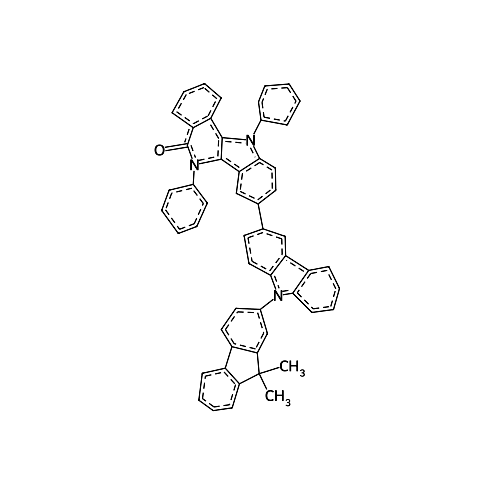 CC1(C)c2ccccc2-c2ccc(-n3c4ccccc4c4cc(-c5ccc6c(c5)c5c(c7ccccc7c(=O)n5-c5ccccc5)n6-c5ccccc5)ccc43)cc21